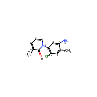 Cc1cc(Cl)c(-n2cccc(C)c2=O)cc1N